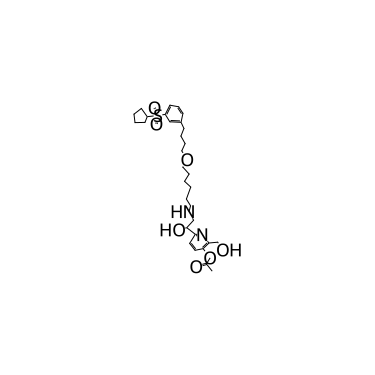 CC(=O)Oc1ccc(C(O)CNCCCCCCOCCCCc2cccc(S(=O)(=O)C3CCCC3)c2)nc1CO